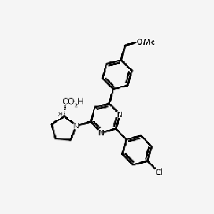 COCc1ccc(-c2cc(N3CCC[C@@H]3C(=O)O)nc(-c3ccc(Cl)cc3)n2)cc1